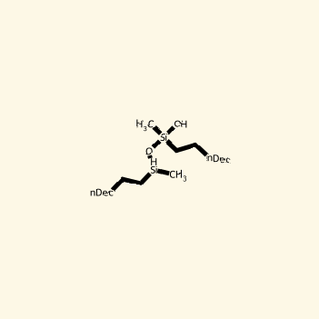 CCCCCCCCCCCC[SiH](C)O[Si](C)(O)CCCCCCCCCCCC